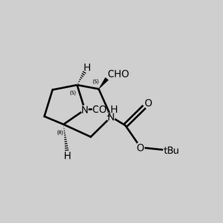 CC(C)(C)OC(=O)N1C[C@H]2CC[C@@H]([C@H]1C=O)N2C(=O)O